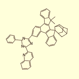 CC1(C)c2ccccc2-c2c1c1c(c3cc(-c4nc(-c5ccccc5)nc(-c5ccc6ccccc6n5)n4)ccc23)-c2ccccc2C12C1CC3CC(C1)CC2C3